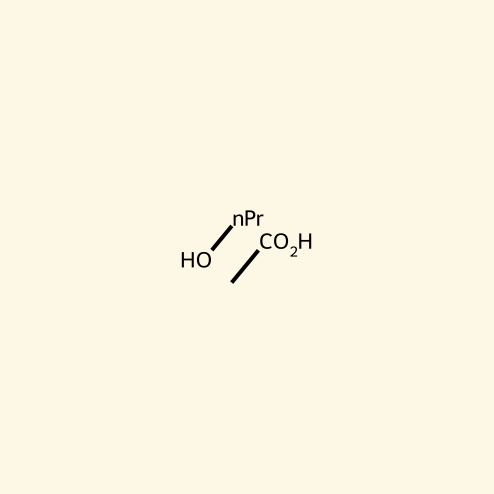 CC(=O)O.CCCO